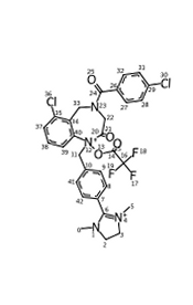 CN1CC[N+](C)=C1c1ccc(C[N+]2(OC(=O)C(F)(F)F)C(=O)CN(C(=O)c3ccc(Cl)cc3)Cc3c(Cl)cccc32)cc1